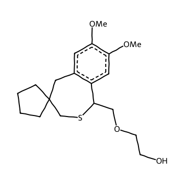 COc1cc2c(cc1OC)C(COCCO)SCC1(CCCC1)C2